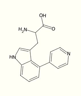 NC(Cc1c[nH]c2cccc(-c3ccncc3)c12)C(=O)O